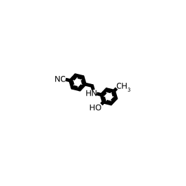 Cc1ccc(O)c(NCc2ccc(C#N)cc2)c1